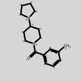 Cc1cccc(C(=O)N2CCC(N3CCCC3)CC2)c1